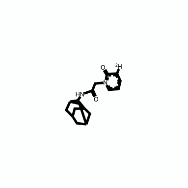 [2H]c1cccn(CC(=O)NC2C3CC4CC(C3)CC2C4)c1=O